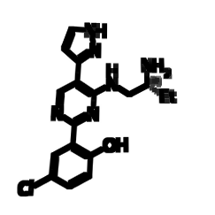 CC[C@@H](N)CNc1nc(-c2cc(Cl)ccc2O)ncc1-c1cc[nH]n1